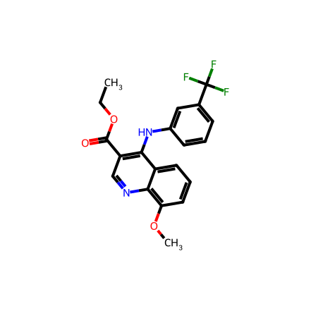 CCOC(=O)c1cnc2c(OC)cccc2c1Nc1cccc(C(F)(F)F)c1